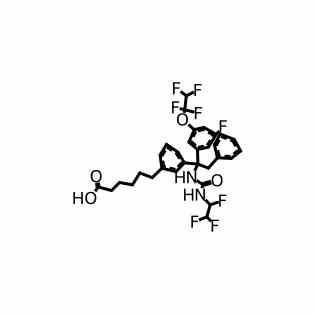 O=C(O)CCCCCc1cccc(C(Cc2ccccc2)(NC(=O)NC(F)C(F)F)c2cc(F)cc(OC(F)(F)C(F)F)c2)c1